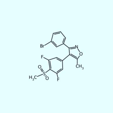 Cc1onc(-c2cccc(Br)c2)c1-c1cc(F)c(S(C)(=O)=O)c(F)c1